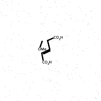 COC.O=C(O)C=CCC(=O)O